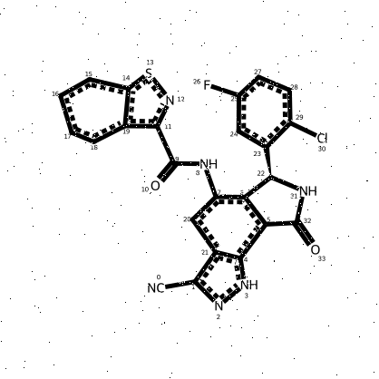 N#Cc1n[nH]c2c3c(c(NC(=O)c4nsc5ccccc45)cc12)[C@@H](c1cc(F)ccc1Cl)NC3=O